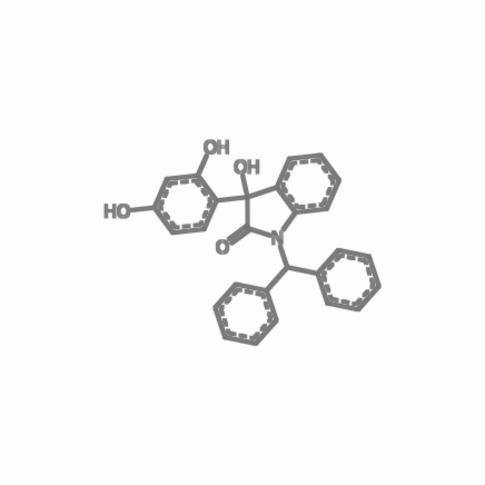 O=C1N(C(c2ccccc2)c2ccccc2)c2ccccc2C1(O)c1ccc(O)cc1O